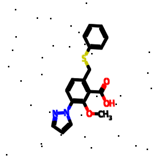 COc1c(-n2cccn2)ccc(CSc2ccccc2)c1C(=O)O